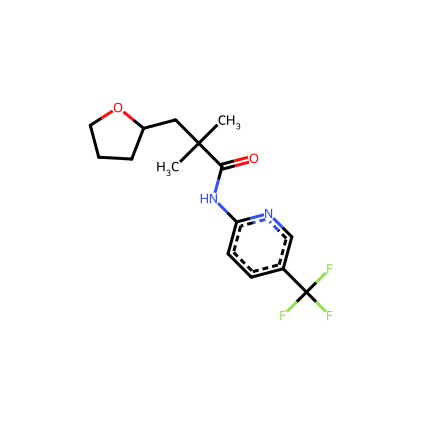 CC(C)(CC1CCCO1)C(=O)Nc1ccc(C(F)(F)F)cn1